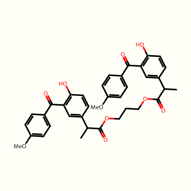 COc1ccc(C(=O)c2cc(C(C)C(=O)OCCCOC(=O)C(C)c3ccc(O)c(C(=O)c4ccc(OC)cc4)c3)ccc2O)cc1